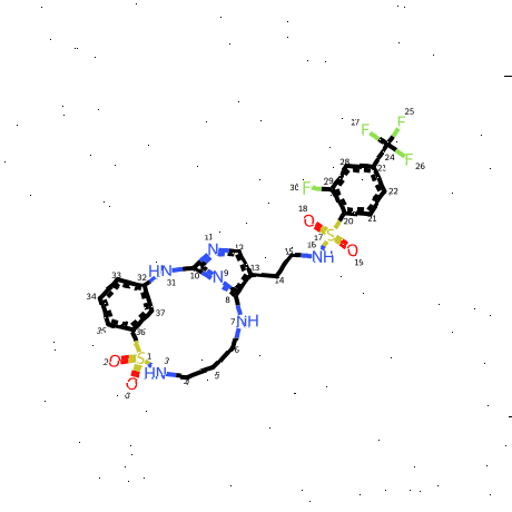 O=S1(=O)NCCCNc2nc(ncc2CCNS(=O)(=O)c2ccc(C(F)(F)F)cc2F)Nc2cccc1c2